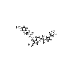 Cc1nc2cc(C(=O)Nc3nc(-c4ccccn4)cs3)ccc2n1CCCC(=O)NCc1ccc(O)cc1